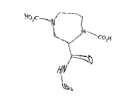 CC(C)(C)NC(=O)C1CN(C(=O)O)CCN1C(=O)O